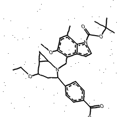 CCOC1CC(c2ccc(C(=O)OC)cc2)N(Cc2c(OC)cc(C)c3c2ccn3C(=O)OC(C)(C)C)C2CC12